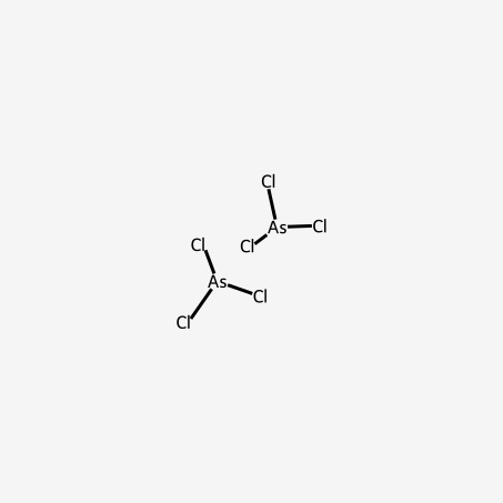 Cl[As](Cl)Cl.Cl[As](Cl)Cl